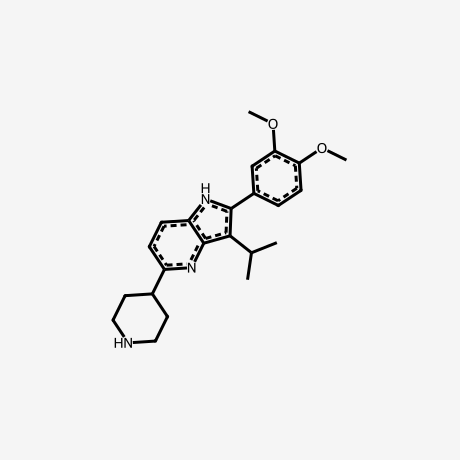 COc1ccc(-c2[nH]c3ccc(C4CCNCC4)nc3c2C(C)C)cc1OC